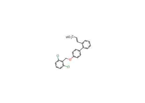 O=C(O)C=Cc1ccccc1-c1ccc(OCc2c(Cl)cccc2Cl)cc1